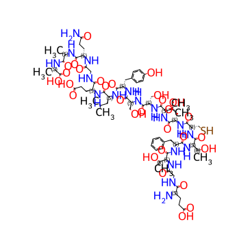 CC(C)C[C@H](NC(=O)[C@H](Cc1ccc(O)cc1)NC(=O)[C@H](CO)NC(=O)[C@H](CO)NC(=O)[C@@H](NC(=O)[C@H](CC(=O)O)NC(=O)[C@H](CS)NC(=O)[C@@H](NC(=O)[C@H](Cc1ccccc1)NC(=O)[C@@H](NC(=O)CNC(=O)[C@@H](N)CCC(=O)O)[C@@H](C)O)[C@@H](C)O)C(C)C)C(=O)N[C@@H](CCC(=O)O)C(=O)NCC(=O)N[C@@H](CCC(N)=O)C(=O)N[C@@H](C)C(=O)N[C@@H](C)C(=O)O